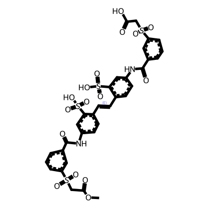 COC(=O)CS(=O)(=O)c1cccc(C(=O)Nc2ccc(/C=C/c3ccc(NC(=O)c4cccc(S(=O)(=O)CC(=O)O)c4)cc3S(=O)(=O)O)c(S(=O)(=O)O)c2)c1